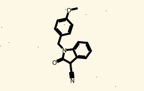 COc1ccc(CN2C(=O)C(C#N)c3ccccc32)cc1